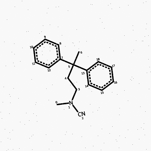 CN(C#N)CCC(C)(c1ccccc1)c1ccccc1